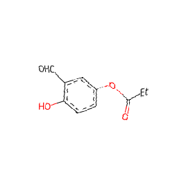 CCC(=O)Oc1ccc(O)c(C=O)c1